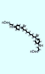 CCCCCCCCCCCCNc1cc[n+](C(Br)CCCCCCCC(Br)[n+]2ccc(NCCCCCCCCCCCC)cc2)cc1